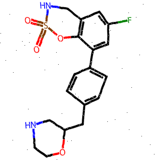 O=S1(=O)NCc2cc(F)cc(-c3ccc(CC4CNCCO4)cc3)c2O1